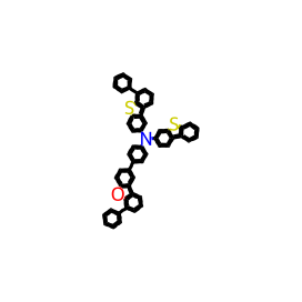 c1ccc(-c2cccc3c2oc2ccc(-c4ccc(N(c5ccc6c(c5)sc5ccccc56)c5ccc6sc7c(-c8ccccc8)cccc7c6c5)cc4)cc23)cc1